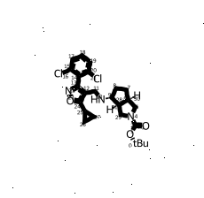 CC(C)(C)OC(=O)N1C[C@@H]2CC[C@@H](NCc3c(-c4c(Cl)cccc4Cl)noc3C3CC3)[C@@H]2C1